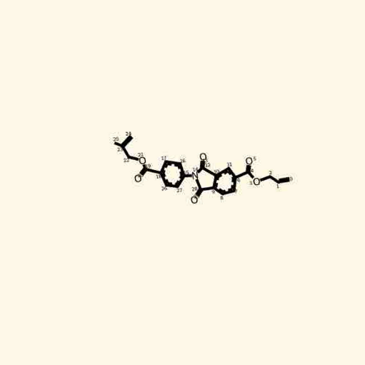 C=CCOC(=O)c1ccc2c(c1)C(=O)N(c1ccc(C(=O)OCC(=C)C)cc1)C2=O